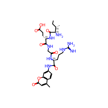 CC[C@H](C)[C@H](N)C(=O)N[C@@H](CCC(=O)O)C(=O)NCC(=O)N[C@@H](CCCNC(=N)N)C(=O)Nc1ccc2c(C)cc(=O)oc2c1